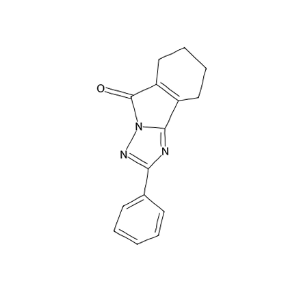 O=C1C2=C(CCCC2)c2nc(-c3ccccc3)nn21